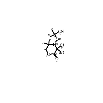 CCC1(CC)C(=O)OCC(C)(C)N1OC(C)(C)C#N